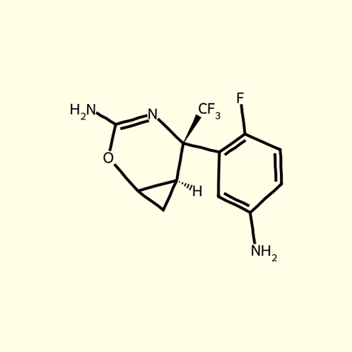 NC1=N[C@@](c2cc(N)ccc2F)(C(F)(F)F)[C@H]2CC2O1